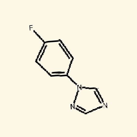 Fc1ccc(-n2[c]ncn2)cc1